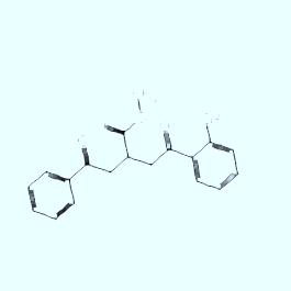 COC(=O)C(CC(=O)c1ccccc1)CC(=O)c1ccccc1C